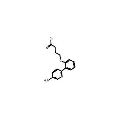 Nc1ccc(-c2ccccc2OCCCC(=O)O)nc1